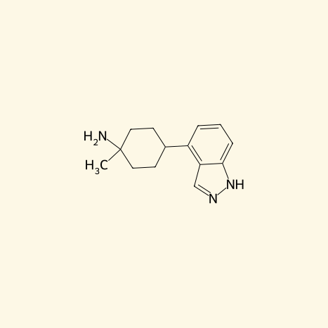 CC1(N)CCC(c2cccc3[nH]ncc23)CC1